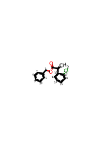 C=C(C(=O)OCc1ccccc1)c1ccccc1Cl